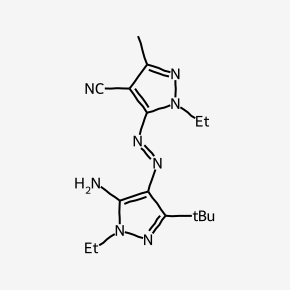 CCn1nc(C(C)(C)C)c(N=Nc2c(C#N)c(C)nn2CC)c1N